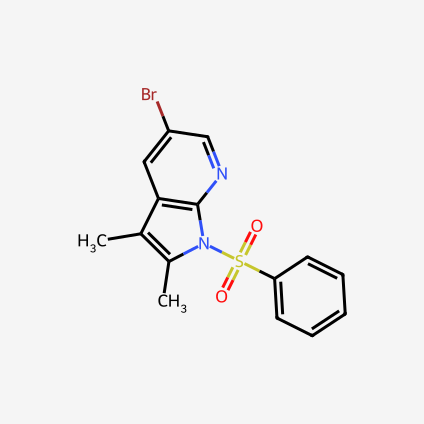 Cc1c(C)n(S(=O)(=O)c2ccccc2)c2ncc(Br)cc12